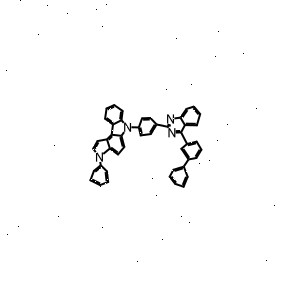 c1ccc(-c2cccc(-c3nc(-c4ccc(-n5c6ccccc6c6c7ccn(-c8ccccc8)c7ccc65)cc4)nc4ccccc34)c2)cc1